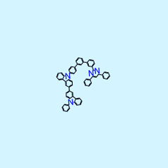 c1ccc(-c2cc(-c3ccccc3)nc(-c3cccc(-c4cccc(-c5ccc(-n6c7ccccc7c7cc(-c8ccc9c(c8)c8ccccc8n9-c8ccccc8)ccc76)cc5)c4)c3)n2)cc1